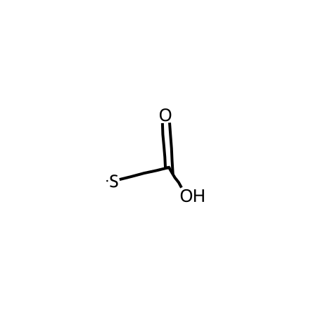 O=C(O)[S]